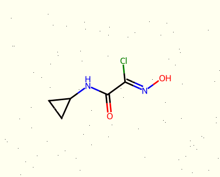 O=C(NC1CC1)C(Cl)=NO